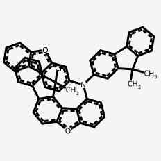 CC1(C)c2ccccc2-c2ccc(N(c3ccc4c(c3)oc3ccccc34)c3cccc4oc5ccc6c(c5c34)C(C)(C)c3ccccc3-6)cc21